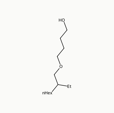 CCCCCCC(CC)COCCCCO